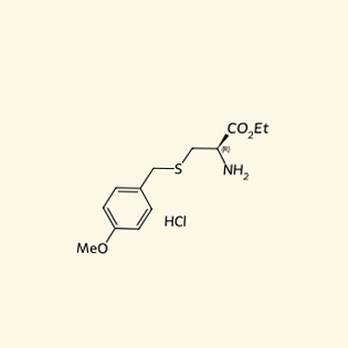 CCOC(=O)[C@@H](N)CSCc1ccc(OC)cc1.Cl